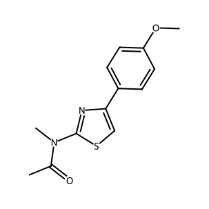 COc1ccc(-c2csc(N(C)C(C)=O)n2)cc1